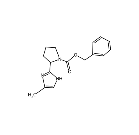 Cc1c[nH]c(C2CCCN2C(=O)OCc2ccccc2)n1